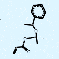 C=CC(=O)OC(C)OC(C)c1ccccc1